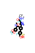 Cc1nc(-c2ccc3c(c2)OC(F)(F)O3)c(-c2cc(-c3cc(F)c(CO)c([S+](C)[O-])c3)ccc2-c2cc(C(F)(F)C(=O)NCC(F)(F)F)nn2C)o1